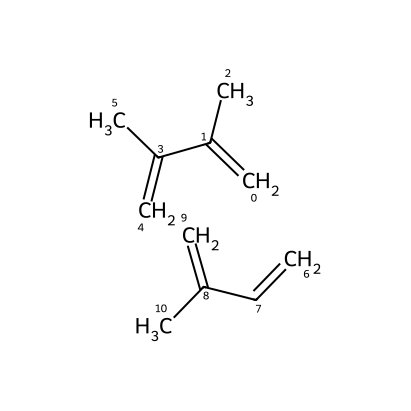 C=C(C)C(=C)C.C=CC(=C)C